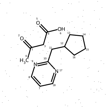 CC(=O)CC(=O)O.c1cnc(CC2CCCC2)nc1